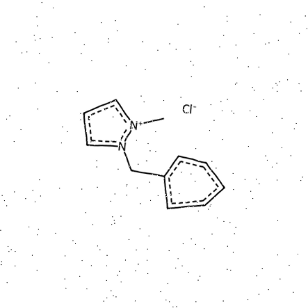 C[n+]1cccn1Cc1ccccc1.[Cl-]